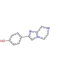 Oc1ccc(-c2cn3ccncc3n2)cc1